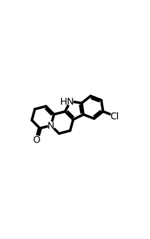 O=C1CCC=C2c3[nH]c4ccc(Cl)cc4c3CCN12